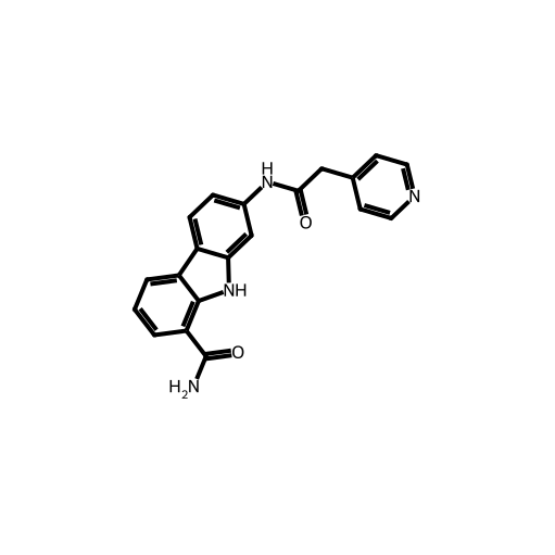 NC(=O)c1cccc2c1[nH]c1cc(NC(=O)Cc3ccncc3)ccc12